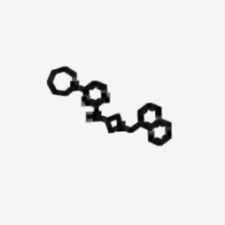 c1ccc2c(CN3CC(Nc4nccc(N5CCCCCC5)n4)C3)cccc2c1